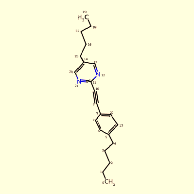 CCCCCc1ccc(C#Cc2ncc(CCCCC)cn2)cc1